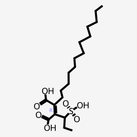 CCCCCCCCCCCCC/C(C(=O)O)=C(/C(=O)O)C(CC)S(=O)(=O)O